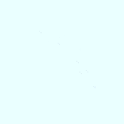 CC(=O)NC[C@H]1CN(c2ccc(N3C=NN(Cc4nc(C)cs4)CC3)c(F)c2)C(=O)O1